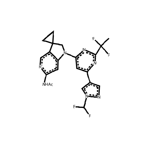 CC(=O)Nc1cc2c(cn1)C1(CC1)CN2c1cc(-c2cnn(C(F)F)c2)nc(C(C)(F)F)n1